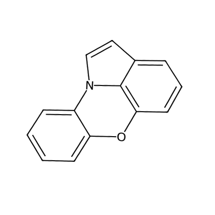 c1ccc2c(c1)Oc1cccc3ccn-2c13